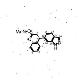 CNOC(=O)C[C@H](c1ccccc1)c1ccc2cn[nH]c2c1